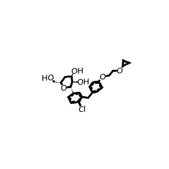 OC[C@@H]1C[C@H](O)[C@@H](O)[C@H](c2ccc(Cl)c(Cc3ccc(OCCOC4CC4)cc3)c2)O1